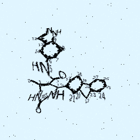 CC1=C(C(=O)Nc2ccc3[nH]ncc3c2)C(c2ccc3c(c2)Cc2ccccc2-3)NC(=O)N1